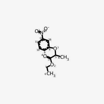 CCOC(=O)C(C)Oc1cc[c]c([N+](=O)[O-])c1